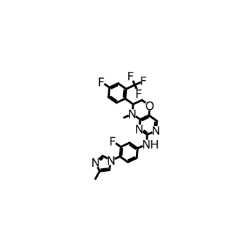 Cc1cn(-c2ccc(Nc3ncc4c(n3)N(C)C(c3ccc(F)cc3C(F)(F)F)CO4)cc2F)cn1